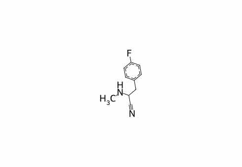 CNC(C#N)Cc1ccc(F)cc1